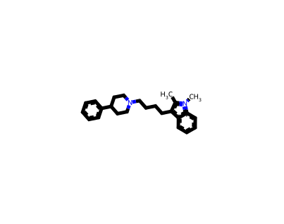 Cc1c(CCCCN2CCC(c3ccccc3)CC2)c2ccccc2n1C